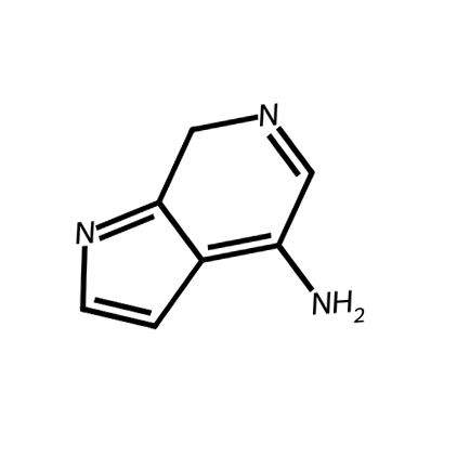 NC1=C2C=CN=C2CN=C1